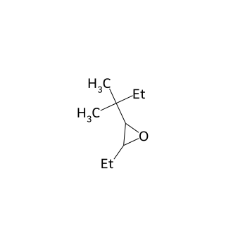 CCC1OC1C(C)(C)CC